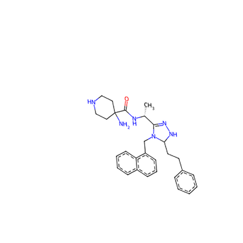 C[C@@H](NC(=O)C1(N)CCNCC1)C1=NNC(CCc2ccccc2)N1Cc1cccc2ccccc12